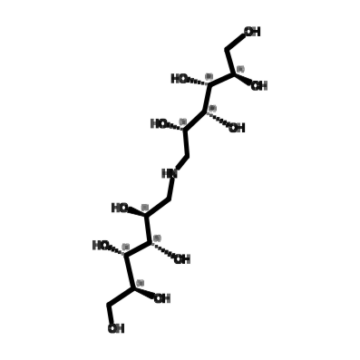 OC[C@@H](O)[C@@H](O)[C@H](O)[C@@H](O)CNC[C@H](O)[C@H](O)[C@@H](O)[C@@H](O)CO